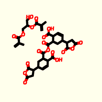 C=C(C)C(=O)OCC(CO)OC(=O)C(=C)C.O=C1CC(C2C=CC(C(=O)O)C(C(=O)OC(=O)C3CC(C4CC(=O)OC4=O)C=CC3C(=O)O)C2)C(=O)O1